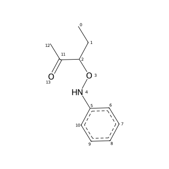 CCC(ONc1ccccc1)C(C)=O